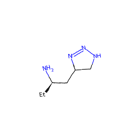 CC[C@@H](N)CC1CNN=N1